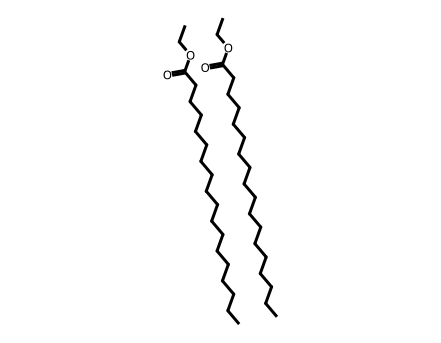 CCCCCCCCCCCCCCCCCC(=O)OCC.CCCCCCCCCCCCCCCCCC(=O)OCC